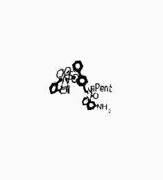 CCCCCN(Cc1ccc(-c2ccccc2S(=O)(=O)NC(=O)c2ccccc2Cl)cc1)C(=O)N1CCCc2ccc(N)cc21